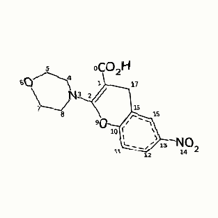 O=C(O)C1=C(N2CCOCC2)Oc2ccc([N+](=O)[O-])cc2C1